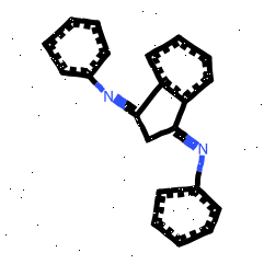 c1ccc(/N=C2/C/C(=N\c3ccccc3)c3ccccc32)cc1